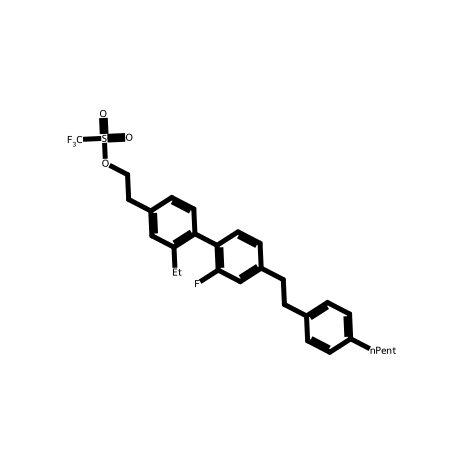 CCCCCc1ccc(CCc2ccc(-c3ccc(CCOS(=O)(=O)C(F)(F)F)cc3CC)c(F)c2)cc1